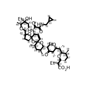 CCC(C(=O)[C@@H](C)[C@@H](O)[C@H](C)[C@@H]1O[C@@H]([C@@H](CC)C(=O)O)CC[C@@H]1C)[C@H]1O[C@]2(C=C[C@@H](NC(=O)C(=O)NCC3CC3)[C@]3(CC[C@@](C)([C@H]4CC[C@](O)(CC)[C@H](C)O4)O3)O2)[C@H](C)C[C@@H]1C